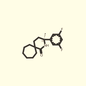 C[C@@]1(c2cc(F)cc(F)c2)CCC2(CCCCCC2)C(=O)N1